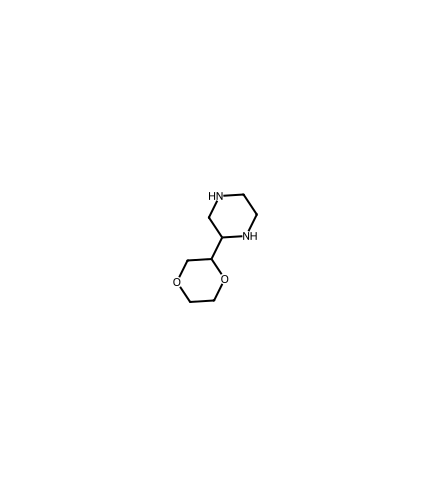 C1CNC(C2COCCO2)CN1